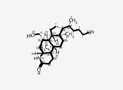 CC(C)CCC[C@@H](C)[C@H]1CC[C@H]2[C@@H]3[C@@H](CO)C[C@H]4NC(=O)CC[C@]4(C)[C@H]3CC[C@]12C